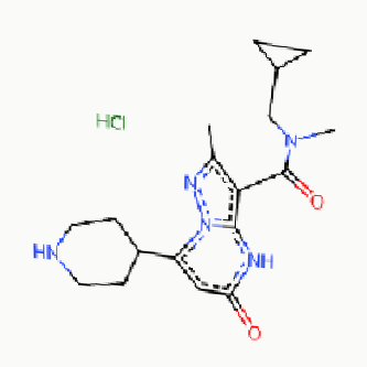 Cc1nn2c(C3CCNCC3)cc(=O)[nH]c2c1C(=O)N(C)CC1CC1.Cl